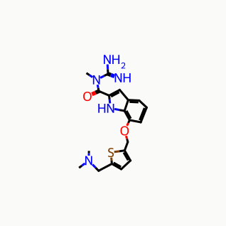 CN(C)Cc1ccc(COc2cccc3cc(C(=O)N(C)C(=N)N)[nH]c23)s1